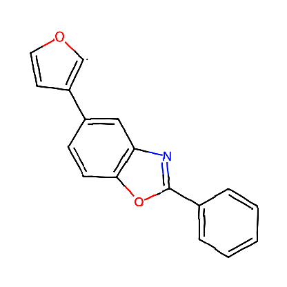 [c]1occc1-c1ccc2oc(-c3ccccc3)nc2c1